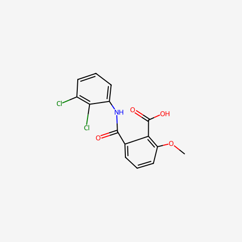 COc1cccc(C(=O)Nc2cccc(Cl)c2Cl)c1C(=O)O